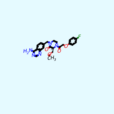 COC[C@H]1C(=O)N(Cc2ccc3c(N)ncnc3c2)CCN1C(=O)COc1ccc(F)cc1